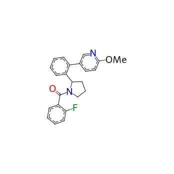 COc1ccc(-c2ccccc2C2CCCN2C(=O)c2ccccc2F)cn1